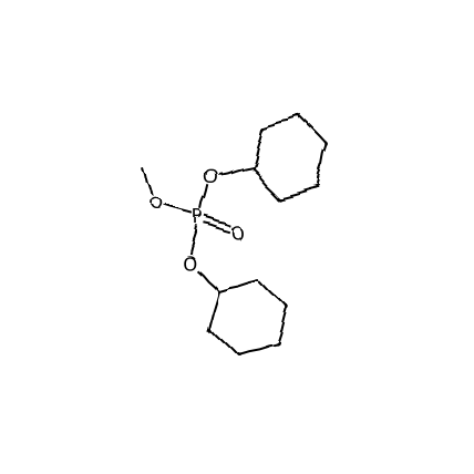 COP(=O)(OC1CCCCC1)OC1CCCCC1